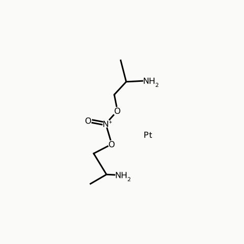 CC(N)CO[N+](=O)OCC(C)N.[Pt]